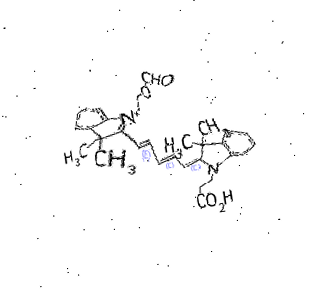 CC1(C)C(/C=C/C=C/C=C2/N(CCC(=O)O)c3ccccc3C2(C)C)=[N+](CCOC=O)c2ccccc21